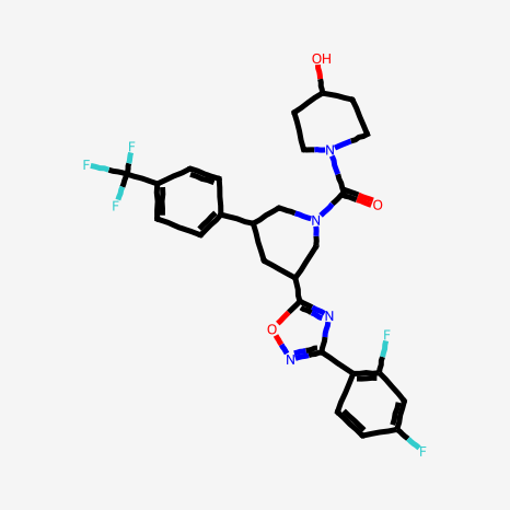 O=C(N1CCC(O)CC1)N1CC(c2ccc(C(F)(F)F)cc2)CC(c2nc(-c3ccc(F)cc3F)no2)C1